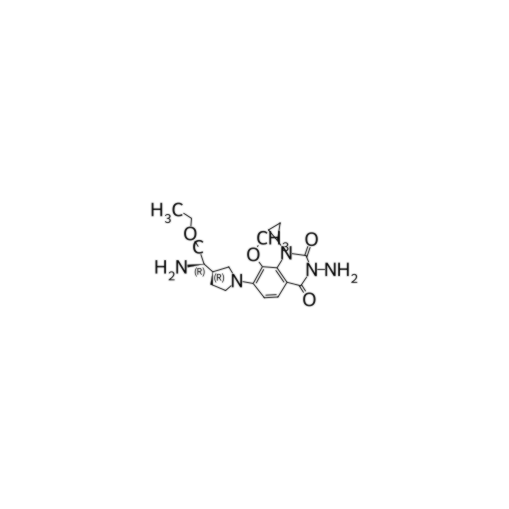 CCOC[C@H](N)[C@@H]1CCN(c2ccc3c(=O)n(N)c(=O)n(C4CC4)c3c2OC)C1